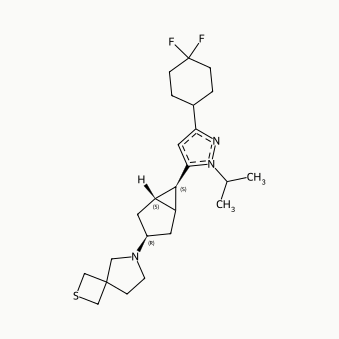 CC(C)n1nc(C2CCC(F)(F)CC2)cc1[C@H]1C2C[C@@H](N3CCC4(CSC4)C3)C[C@@H]21